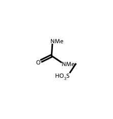 CNC(=O)NC.CS(=O)(=O)O